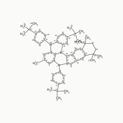 Cc1cc2c3c(c1)N(c1ccc(C(C)(C)C)cc1)c1sc4cc5c(cc4c1B3c1cc(C(C)(C)C)ccc1N2c1ccc(C(C)(C)C)cc1)C(C)(C)CCC5(C)C